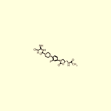 CC(=O)NC[C@H]1CN(c2ccc(N3CCN(C(=O)NC(=N)NCl)CC3)c(F)c2)C(=O)O1